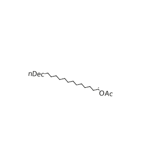 CCCCCCCCCCCCCCCCCCCCCC[CH]OC(C)=O